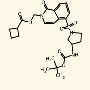 CC(C)(C)OC(=O)NC1CCN(S(=O)(=O)c2cccc3c(=O)n(COC(=O)C4CCC4)ccc23)C1